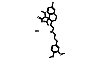 COc1cc(CCCNCCC2CCc3cc(F)ccc3C2(C(C)C)C(OC)C(=O)O)ccc1SC.Cl